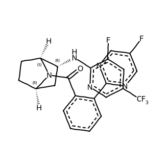 O=C(c1ccccc1-c1ncc(F)cn1)N1[C@@H]2CC[C@H]1[C@H](Nc1ncc(C(F)(F)F)cc1F)C2